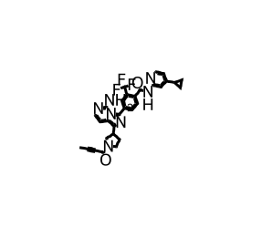 CC#CC(=O)N1CCC(c2nc(-c3ccc(C(=O)Nc4cc(C5CC5)ccn4)c(C(F)(F)F)c3)n3c(N)nccc23)C1